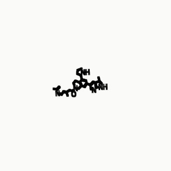 C=C(C)/N=C\C=C(/C)CC(=O)N1CCc2c(cc(-c3cnc4[nH]cc(C)c4c3)cc2C2CCCN2)C1